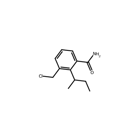 CCC(C)c1c(CCl)cccc1C(N)=O